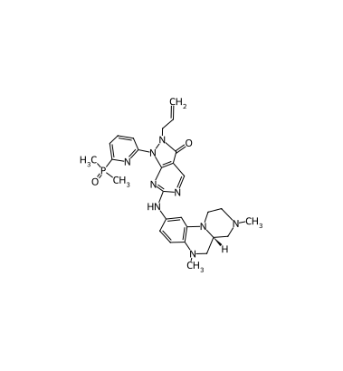 C=CCn1c(=O)c2cnc(Nc3ccc4c(c3)N3CCN(C)C[C@@H]3CN4C)nc2n1-c1cccc(P(C)(C)=O)n1